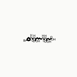 O=C(O)CCC(NC(=O)NCCCCC(NC(=O)Nc1ccc(Br)cc1)C(=O)O)C(=O)O